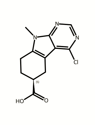 Cn1c2c(c3c(Cl)ncnc31)C[C@@H](C(=O)O)CC2